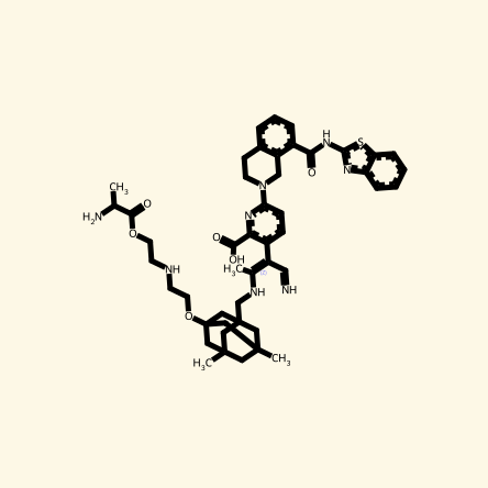 C/C(NCC12CC3(C)CC(C)(C1)CC(OCCNCCOC(=O)C(C)N)(C3)C2)=C(/C=N)c1ccc(N2CCc3cccc(C(=O)Nc4nc5ccccc5s4)c3C2)nc1C(=O)O